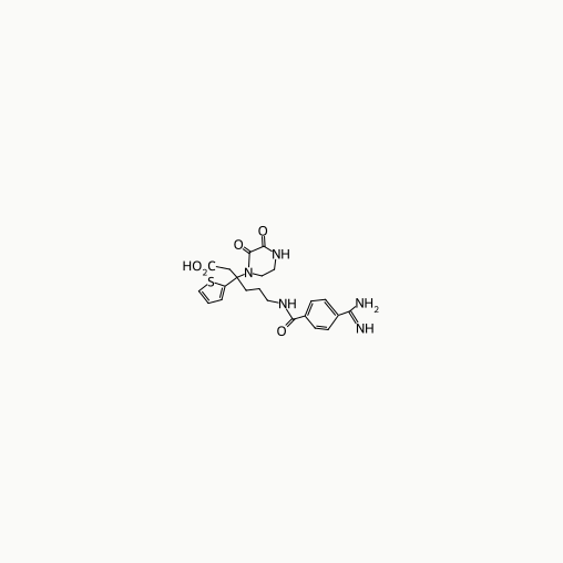 N=C(N)c1ccc(C(=O)NCCCC(CC(=O)O)(c2cccs2)N2CCNC(=O)C2=O)cc1